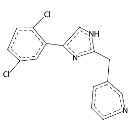 Clc1ccc(Cl)c(-c2c[nH]c(Cc3cccnc3)n2)c1